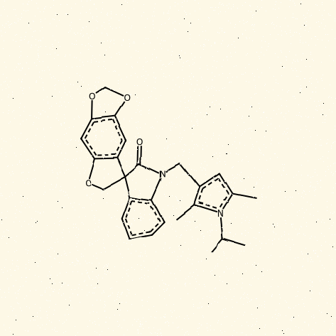 Cc1cc(CN2C(=O)C3(COc4cc5c(cc43)OCO5)c3ccccc32)c(C)n1C(C)C